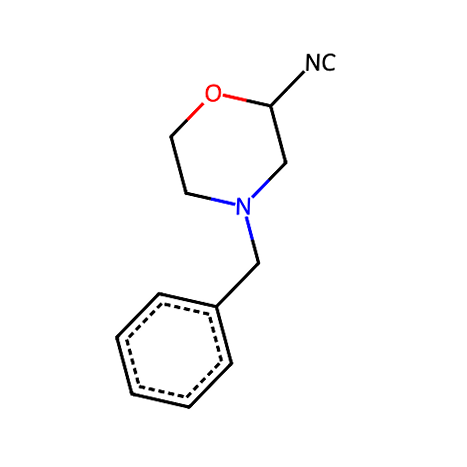 [C-]#[N+]C1CN(Cc2ccccc2)CCO1